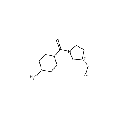 CC(=O)C[C@H]1CCN(C(=O)C2CCN(C)CC2)C1